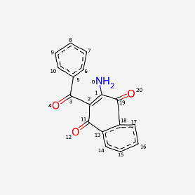 NC1=C(C(=O)c2ccccc2)C(=O)c2ccccc2C1=O